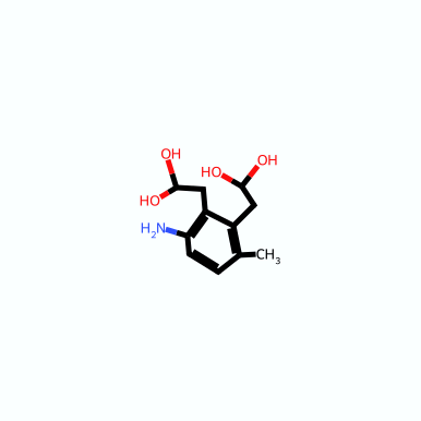 Cc1ccc(N)c(CC(O)O)c1CC(O)O